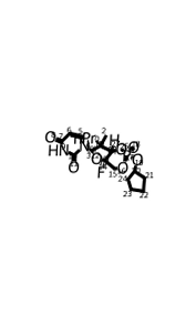 CCC[C@]1(C)[C@H](n2ccc(=O)[nH]c2=O)O[C@]2(F)COP(=O)(OC3CCCC3)O[C@@H]12